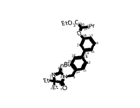 CCCCC1=NC(CC)(CC)C(=O)N1Cc1ccc(-c2cccc(OC(C(=O)OCC)C(C)C)c2)cc1